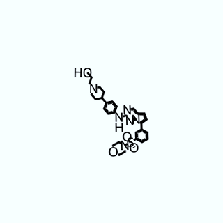 O=S(=O)(c1cccc(-c2ccc3cnc(Nc4ccc(C5CCN(CCO)CC5)cc4)nn23)c1)N1CCOCC1